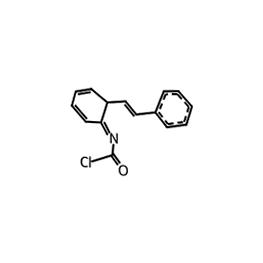 O=C(Cl)N=C1C=CC=CC1C=Cc1ccccc1